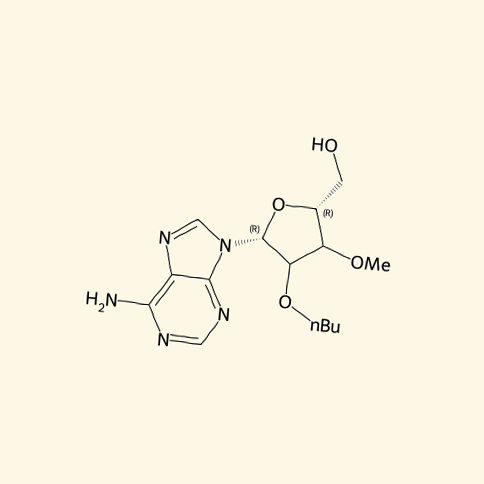 CCCCOC1C(OC)[C@@H](CO)O[C@H]1n1cnc2c(N)ncnc21